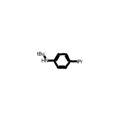 CC(C)c1ccc(NC(C)(C)C)cc1